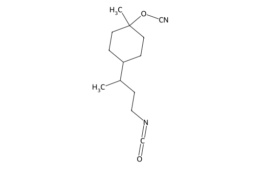 CC(CCN=C=O)C1CCC(C)(OC#N)CC1